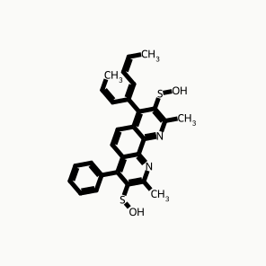 C\C=C/C=C(\C=C/C)c1c(SO)c(C)nc2c1ccc1c(-c3ccccc3)c(SO)c(C)nc12